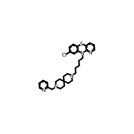 Clc1ccc2c(c1)N(CCCCCN1CCC3(CC1)CCN(Cc1ccccn1)CC3)c1ncccc1S2